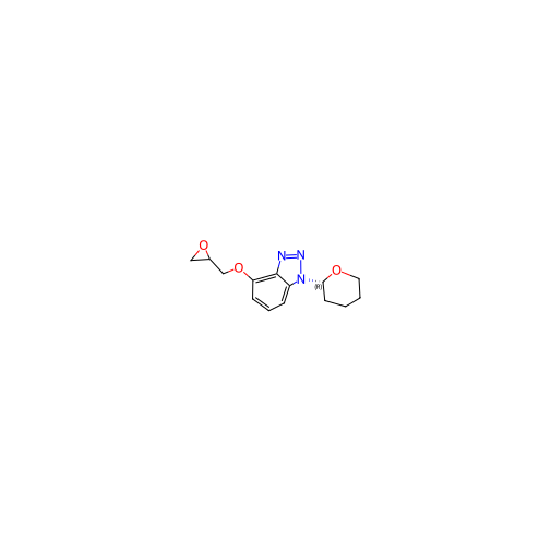 c1cc(OCC2CO2)c2nnn([C@H]3CCCCO3)c2c1